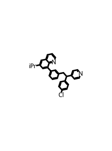 CC(C)c1cc(-c2cccc(CC(c3ccncc3)c3ccc(Cl)cc3)c2)c2ncccc2c1